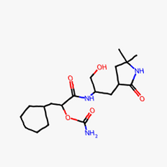 CC1(C)CC(CC(CO)NC(=O)C(CC2CCCCC2)OC(N)=O)C(=O)N1